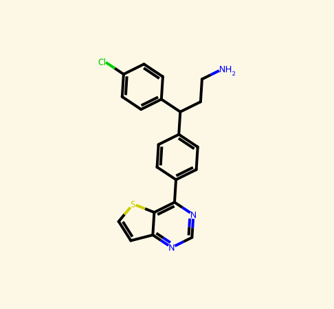 NCCC(c1ccc(Cl)cc1)c1ccc(-c2ncnc3ccsc23)cc1